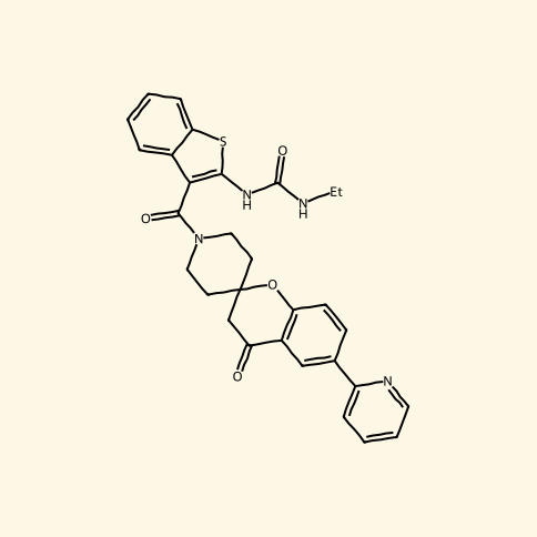 CCNC(=O)Nc1sc2ccccc2c1C(=O)N1CCC2(CC1)CC(=O)c1cc(-c3ccccn3)ccc1O2